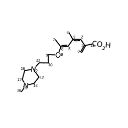 C=C(/C=C(C)\C=C(/C)OCCCN1CCN(C)CC1)C(=O)O